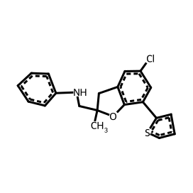 CC1(CNc2ccccc2)Cc2cc(Cl)cc(-c3cccs3)c2O1